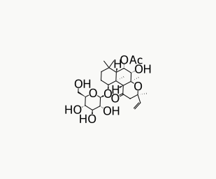 C=C[C@@]1(C)CC(=O)[C@H]2[C@](C)(O1)[C@@H](O)[C@@H](OC(C)=O)[C@H]1C(C)(C)CC[C@H](O[C@@H]3O[C@H](CO)[C@@H](O)[C@H](O)[C@H]3O)[C@@]12C